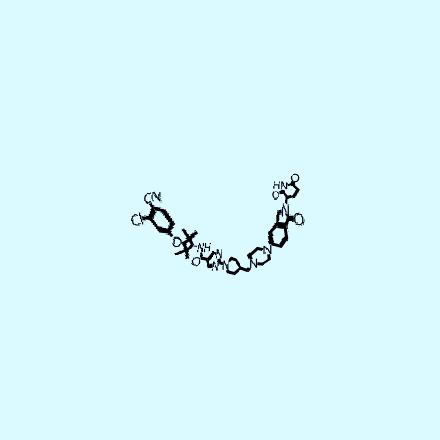 CC1(C)[C@H](NC(=O)c2cnc(N3CCC(CN4CCN(c5ccc6c(c5)CN(C5CCC(=O)NC5=O)C6=O)CC4)CC3)nc2)C(C)(C)[C@H]1Oc1ccc(C#N)c(Cl)c1